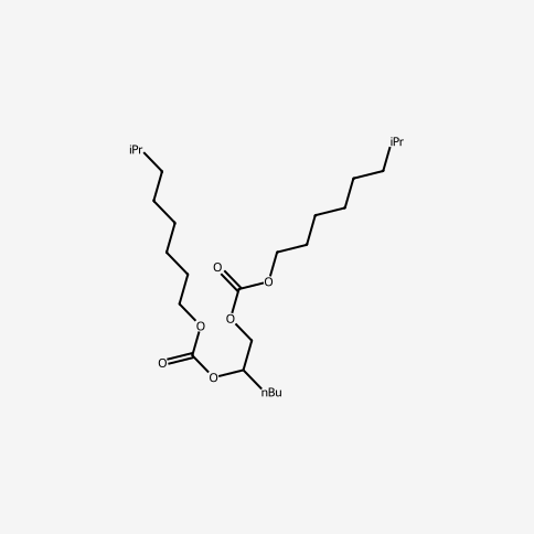 CCCCC(COC(=O)OCCCCCCC(C)C)OC(=O)OCCCCCCC(C)C